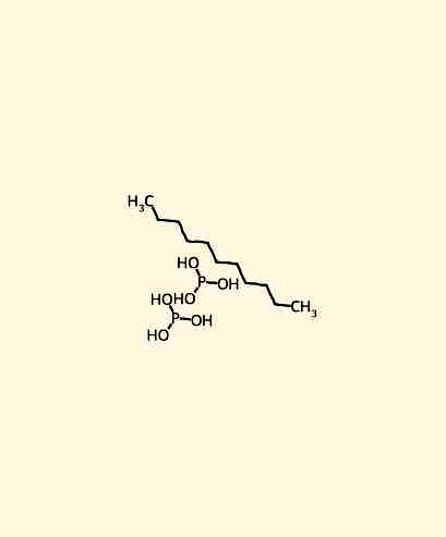 CCCCCCCCCCC.OP(O)O.OP(O)O